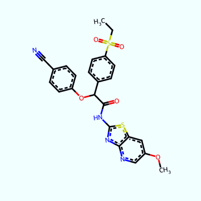 CCS(=O)(=O)c1ccc(C(Oc2ccc(C#N)cc2)C(=O)Nc2nc3ncc(OC)cc3s2)cc1